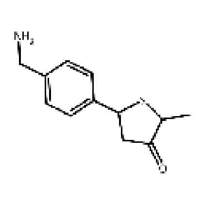 CC1SC(c2ccc(CN)cc2)CC1=O